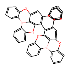 c1ccc(-c2cc3c4c(c2-c2c(-c5ccccc5)cc5c6c2Oc2ccccc2B6c2ccccc2O5)Oc2ccccc2B4c2ccccc2O3)cc1